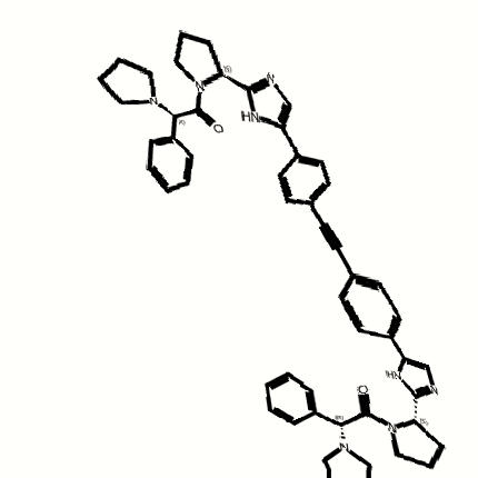 O=C([C@@H](c1ccccc1)N1CCCC1)N1CCC[C@H]1c1ncc(-c2ccc(C#Cc3ccc(-c4cnc([C@@H]5CCCN5C(=O)[C@@H](c5ccccc5)N5CCCC5)[nH]4)cc3)cc2)[nH]1